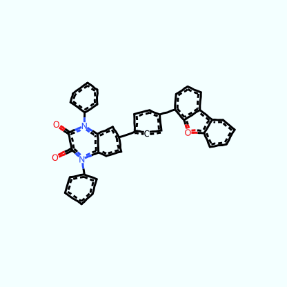 O=c1c(=O)n(-c2ccccc2)c2cc(-c3ccc(-c4cccc5c4oc4ccccc45)cc3)ccc2n1-c1ccccc1